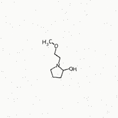 COCCN1CCCC1O